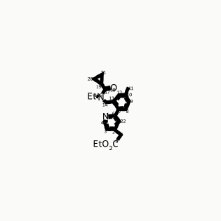 CCOC(=O)Cc1ccnc(-c2ccc(C)cc2CN(CC)C(=O)C2CC2)c1